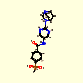 CS(=O)(=O)c1ccc(C(=O)Nc2cnc(N3CCN4CCC3CC4)nc2)cc1